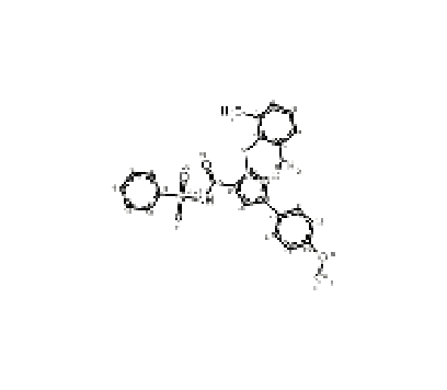 Cc1cccc(C)c1Cn1nc(-c2ccc(OC(F)(F)F)cc2)cc1C(=O)NS(=O)(=O)c1ccccc1